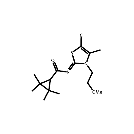 COCCn1c(C)c(Cl)sc1=NC(=O)C1C(C)(C)C1(C)C